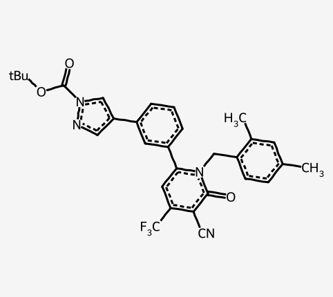 Cc1ccc(Cn2c(-c3cccc(-c4cnn(C(=O)OC(C)(C)C)c4)c3)cc(C(F)(F)F)c(C#N)c2=O)c(C)c1